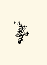 CCO.CO/N=C(\C(=O)N[C@@H]1C(=O)N2C(C(=O)O)=C(CSC(=O)c3ccco3)CS[C@H]12)c1csc(N)n1.Cl